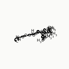 CC[C@H](C(=O)N1CCCC[C@H]1C(=O)O[C@H](CCc1ccc(OC)c(OC)c1)c1cccc(OCC(=O)NCCOCCOCCOCCC[C@@H]2[C@@H]3CCC#CCC[C@@H]32)c1)c1cc(OC)c(OC)c(OC)c1